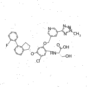 Cn1nnc(-c2cncc(COc3cc(O[C@H]4CCc5c(-c6ccccc6F)cccc54)c(Cl)cc3CN[C@@H](CO)C(=O)O)c2)n1